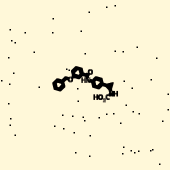 O=C(O)NC1CC1c1ccc(NC(=O)c2cccc(OCc3ccccc3)c2)cc1